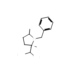 CC1CC[C@@](C(=O)O)(C(C)O)N1Cc1ccccc1